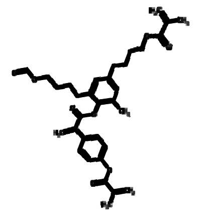 C=C(C)C(=O)OCCCCc1cc(C)c(OC(=O)C(=C)c2ccc(OC(=O)C(=C)C)cc2)c(CCCCOC=O)c1